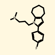 CN(C)CCCn1c(-c2ccc(F)cc2)cc2c1CCCCC2